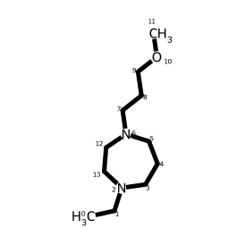 CCN1CCCN(CCCOC)CC1